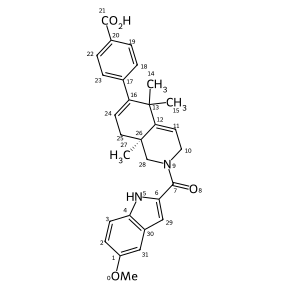 COc1ccc2[nH]c(C(=O)N3CC=C4C(C)(C)C(c5ccc(C(=O)O)cc5)=CC[C@]4(C)C3)cc2c1